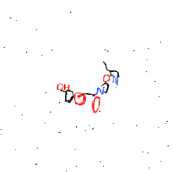 CCCc1cccnc1OC1CCN(C(=O)COc2ccc(CO)cc2)C1